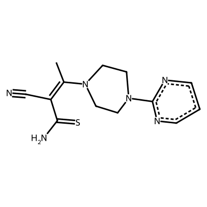 CC(=C(C#N)C(N)=S)N1CCN(c2ncccn2)CC1